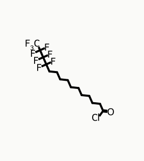 O=C(Cl)CCCCCCCCCCC(F)(F)C(F)(F)C(F)(F)C(F)(F)F